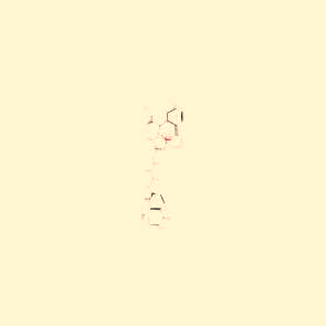 COC(=O)C(c1cc(F)ccc1C1CCCO1)N1CCC(OCCCCc2ccc3c(n2)NCCC3)C1